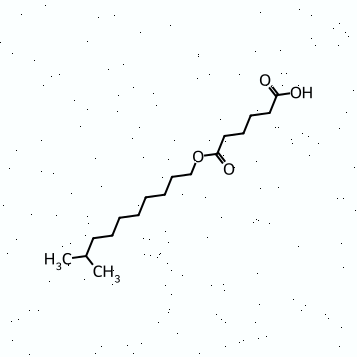 CC(C)CCCCCCCCOC(=O)CCCCC(=O)O